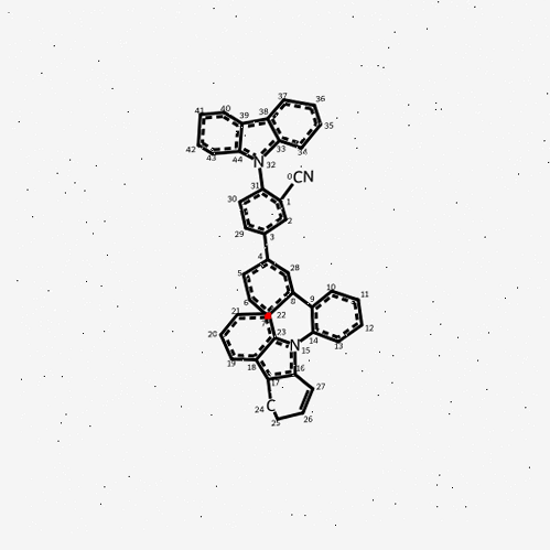 N#Cc1cc(-c2cccc(-c3ccccc3-n3c4c(c5ccccc53)CCC=C4)c2)ccc1-n1c2ccccc2c2ccccc21